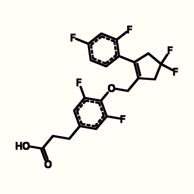 O=C(O)CCc1cc(F)c(OCC2=C(c3ccc(F)cc3F)CC(F)(F)C2)c(F)c1